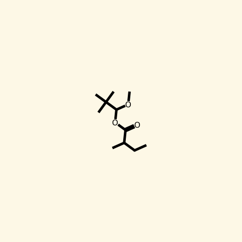 CCC(C)C(=O)OC(OC)C(C)(C)C